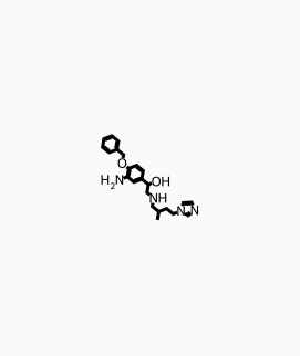 CC(CCn1ccnc1)CNCC(O)c1ccc(OCc2ccccc2)c(N)c1